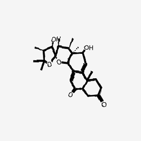 C[C@@H]1[C@H](C)[C@@]2(OC3C4=CC(=O)C5CC(=O)CCC5(C)C4=CC(O)[C@@]31C)OC(C)(C)[C@@H](C)[C@H]2O